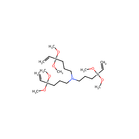 C=C[Si](CCCN(CCC[Si](C=C)(OC)OC)CCC[Si](C=C)(OC)OC)(OC)OC